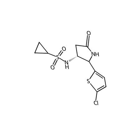 O=C1C[C@@H](NS(=O)(=O)C2CC2)C(c2ccc(Cl)s2)N1